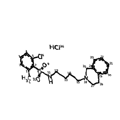 Cc1cccc(Cl)c1S(=O)(=O)NCCCCN1CCc2ccccc2C1.Cl